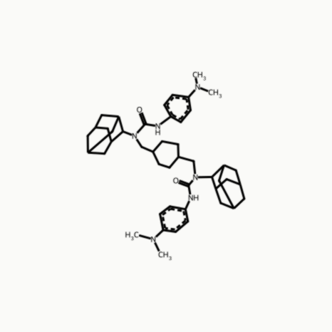 CN(C)c1ccc(NC(=O)N(CC2CCC(CN(C(=O)Nc3ccc(N(C)C)cc3)C3C4CC5CC(C4)CC3C5)CC2)C2C3CC4CC(C3)CC2C4)cc1